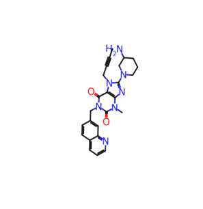 CC#CCn1c(N2CCCC(N)C2)nc2c1c(=O)n(Cc1ccc3cccnc3c1)c(=O)n2C